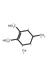 CC1CCC(C(=O)O)=C(C(=O)O)C1.[Ca]